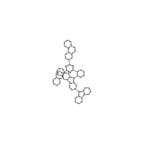 c1ccc(-n2c3cc(-n4c5ccccc5c5ccccc54)ccc3c3cc4ccccc4cc32)c(-c2nc(-c3ccc4ccccc4c3)nc(-c3ccc4c(ccc5ccccc54)c3)n2)c1